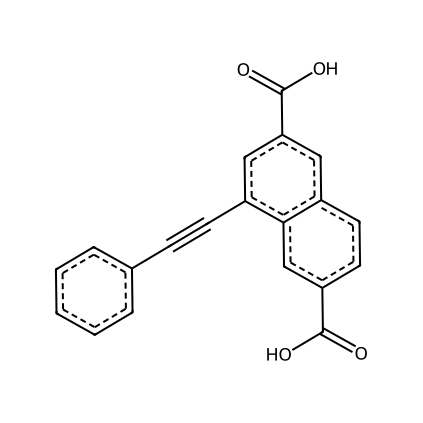 O=C(O)c1cc(C#Cc2ccccc2)c2cc(C(=O)O)ccc2c1